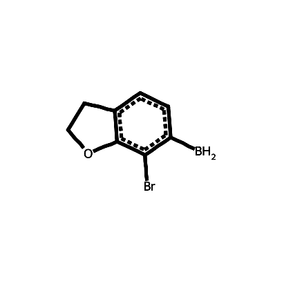 Bc1ccc2c(c1Br)OCC2